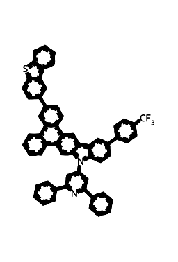 FC(F)(F)c1ccc(-c2ccc3c(c2)c2cc4c5ccc(-c6ccc7sc8ccccc8c7c6)cc5c5ccccc5c4cc2n3-c2cc(-c3ccccc3)nc(-c3ccccc3)c2)cc1